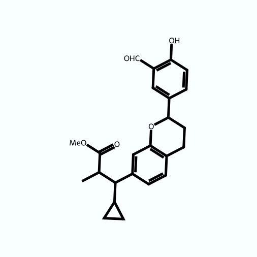 COC(=O)C(C)C(c1ccc2c(c1)OC(c1ccc(O)c(C=O)c1)CC2)C1CC1